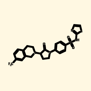 O=C1C(N2CCc3ccc(C(F)(F)F)cc3C2)CCN1c1ccc(S(=O)(=O)Nc2nccs2)cc1